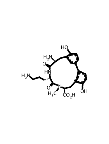 CN1C(=O)[C@H](CCCN)NC(=O)[C@@H](N)Cc2cc(ccc2O)-c2ccc(O)c(c2)C[C@H]1C(=O)O